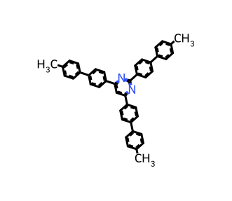 Cc1ccc(-c2ccc(-c3cc(-c4ccc(-c5ccc(C)cc5)cc4)nc(-c4ccc(-c5ccc(C)cc5)cc4)n3)cc2)cc1